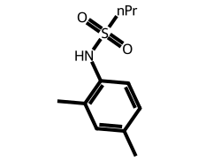 CCCS(=O)(=O)Nc1ccc(C)cc1C